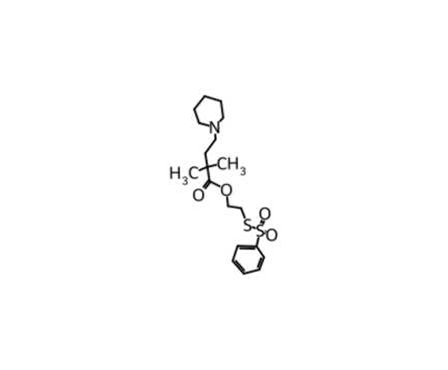 CC(C)(CCN1CCCCC1)C(=O)OCCSS(=O)(=O)c1ccccc1